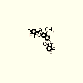 CCc1cc(OC(=O)c2ccc(F)c(F)c2F)cc2cc(OC(=O)c3ccc(F)c(F)c3F)ccc12